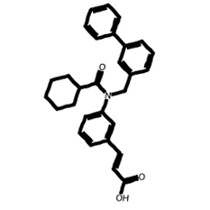 O=C(O)C=Cc1cccc(N(Cc2cccc(-c3ccccc3)c2)C(=O)C2CCCCC2)c1